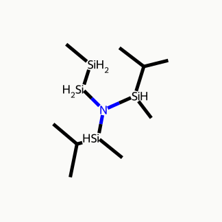 C[SiH2][SiH2]N([SiH](C)C(C)C)[SiH](C)C(C)C